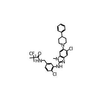 Cn1c(Nc2cc(CNC(=O)C(C)(C)C(F)(F)F)ccc2Cl)nc2cc(Cl)c(N3CCC(c4ccccc4)CC3)cc21